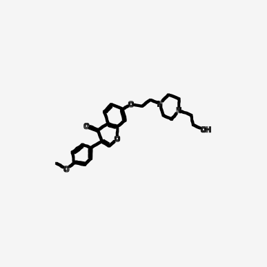 COc1ccc(-c2coc3cc(OCCN4CCN(CCO)CC4)ccc3c2=O)cc1